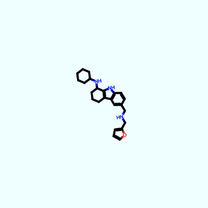 c1coc(CNCc2ccc3[nH]c4c(c3c2)CCCC4NC2CCCCC2)c1